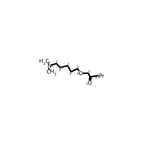 CC(C)C(=O)COCCCCCN(C)C